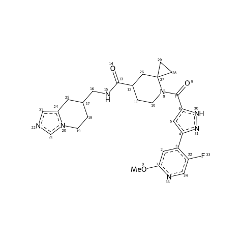 COc1cc(-c2cc(C(=O)N3CCC(C(=O)NCC4CCn5cncc5C4)CC34CC4)[nH]n2)c(F)cn1